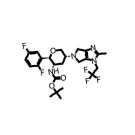 Cc1nc2c(n1CC(F)(F)F)CN([C@H]1CO[C@H](c3cc(F)ccc3F)[C@@H](NC(=O)OC(C)(C)C)C1)C2